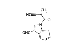 C#CC(=C)C(=O)n1cc(C=O)c2ccccc21